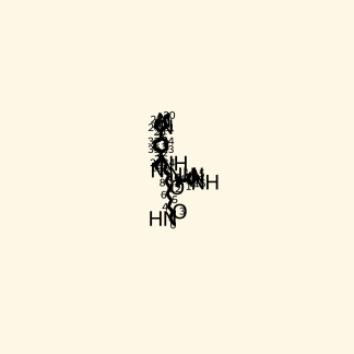 CNC(=O)CCCCCC(NC(=O)c1cn[nH]c1)c1ncc(-c2ccc(-c3ccn(C)n3)cc2)[nH]1